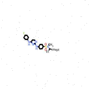 CCCCCCCC(CC)N(C)S(=O)(=O)c1ccc(Nc2nccc(Nc3ccc(F)cc3)n2)cc1